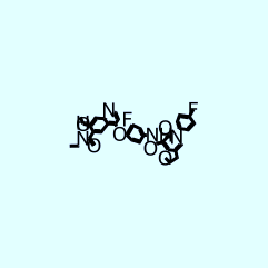 CCNC(=O)c1cc2c(Oc3ccc(NC(=O)c4c5c(cn(-c6ccc(F)cc6)c4=O)CCO5)cc3F)ccnc2cc1OC